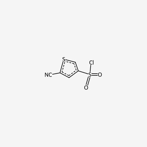 N#Cc1cc(S(=O)(=O)Cl)cs1